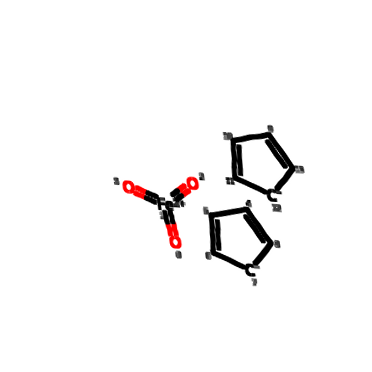 [O]=[Fe+2](=[O])=[O].c1cc[cH-]c1.c1cc[cH-]c1